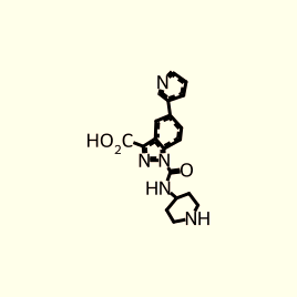 O=C(O)c1nn(C(=O)NC2CCNCC2)c2ccc(-c3cccnc3)cc12